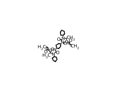 C=CC(=O)OC(C)N(C(=O)N(C)c1ccc(N(C)C(=O)N(c2ccccc2)C(C)OC(=O)C=C)cc1)c1ccccc1